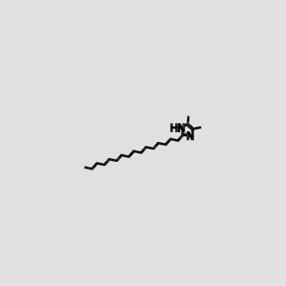 CCCCCCCCCCCCCCCCc1nc(C)c(C)[nH]1